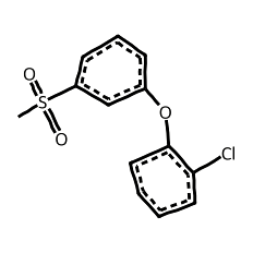 CS(=O)(=O)c1cccc(Oc2ccccc2Cl)c1